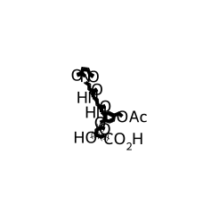 CC(=O)OCc1ccc(O[C@H]2C[C@@H](O)C[C@@H](C(=O)O)O2)c(NC(=O)CCNC(=O)CCCN2C(=O)C=CC2=O)c1